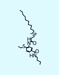 CCCCCCCCCC[Si](C)(C)CCC(=O)Nc1cc(C(=O)NCCCC)ccc1SCC